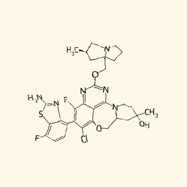 C[C@H]1CN2CCCC2(COc2nc3c4c(c(Cl)c(-c5ccc(F)c6sc(N)nc56)c(F)c4n2)OCC2CC(C)(O)CCN32)C1